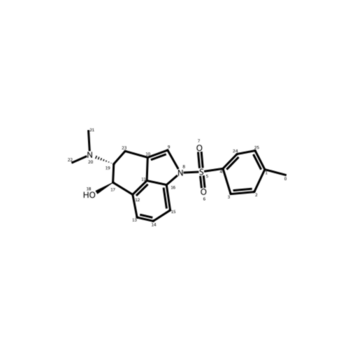 Cc1ccc(S(=O)(=O)n2cc3c4c(cccc42)[C@@H](O)[C@H](N(C)C)C3)cc1